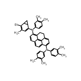 CCC1=C(C)C=C(N(c2ccc(C)c(C)c2)c2ccc3ccc4c(N(c5ccc(C)c(C)c5)c5ccc(C)c(C)c5)ccc5c4c3c2CC5)C2CC12